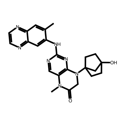 Cc1cc2nccnc2cc1Nc1ncc2c(n1)N(C13CCC(O)(CC1)C3)CC(=O)N2C